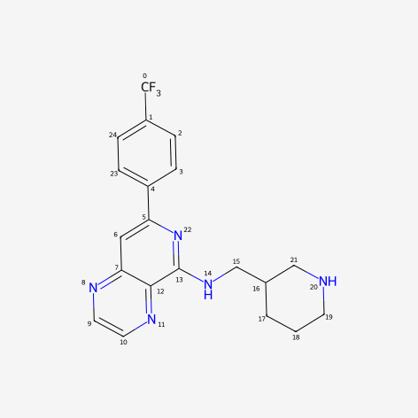 FC(F)(F)c1ccc(-c2cc3nccnc3c(NCC3CCCNC3)n2)cc1